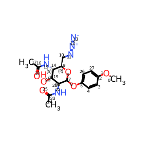 COc1ccc(OC2O[C@H](CN=[N+]=[N-])[C@@H](NC(C)=O)[C@H](O)[C@@H]2NC(C)=O)cc1